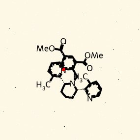 COC(=O)c1ccc(CN2[C@@H](c3ncccc3C)CCC[C@H]2c2ncccc2C)c(C(=O)OC)c1